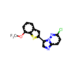 FC(F)(F)Oc1cccc2cc(-c3cnc4ccc(Cl)nn34)sc12